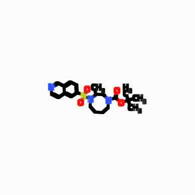 C[C@H]1CN(C(=O)OC(C)(C)C)CCCCN1S(=O)(=O)c1ccc2cnccc2c1